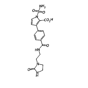 NS(=O)(=O)n1ccc(-c2ccc(C(=O)NCCN3CCNC3=O)cc2)c1C(=O)O